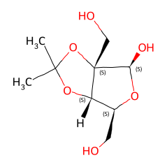 CC1(C)O[C@H]2[C@H](CO)O[C@H](O)[C@@]2(CO)O1